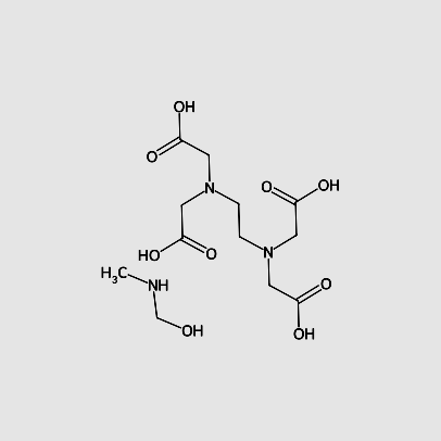 CNCO.O=C(O)CN(CCN(CC(=O)O)CC(=O)O)CC(=O)O